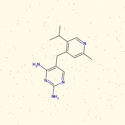 Cc1cc(Cc2cnc(N)nc2N)c(C(C)C)cn1